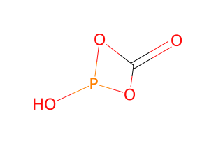 O=c1op(O)o1